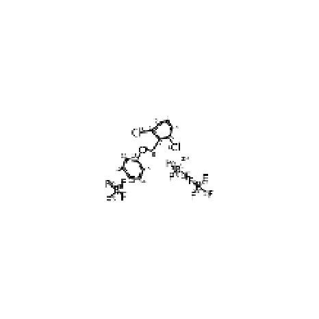 Clc1cccc(Cl)c1COc1ccccc1.F[B-](F)(F)F.F[B-](F)(F)F.F[B-](F)(F)F